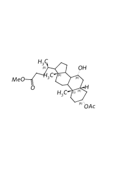 COC(=O)CC[C@@H](C)C1CCC2C3C(CC[C@@]21C)[C@@]1(C)CC[C@@H](OC(C)=O)C[C@H]1C[C@H]3O